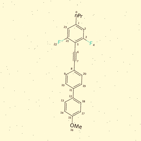 CCCc1cc(F)c(C#Cc2ccc(-c3ccc(OC)cc3)cc2)c(F)c1